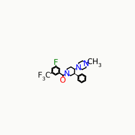 CN1CCN([C@@H]2CCN(C(=O)c3cc(F)cc(C(F)(F)F)c3)C[C@@H]2c2ccccc2)CC1